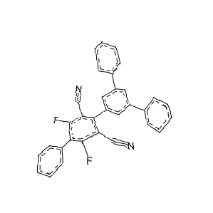 N#Cc1c(F)c(-c2ccccc2)c(F)c(C#N)c1-c1cc(-c2ccccc2)cc(-c2ccccc2)c1